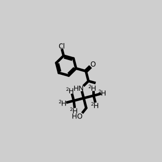 [2H]C([2H])([2H])C(CO)(NC(C)C(=O)c1cccc(Cl)c1)C([2H])([2H])[2H]